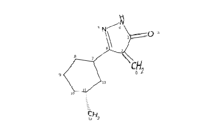 C=C1C(=O)NN=C1C1CCC[C@@H](C)C1